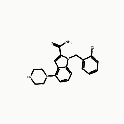 NC(=O)c1cc2c(N3CCNCC3)cccc2n1Cc1ccccc1Cl